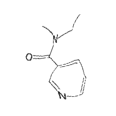 CCN(C)C(=O)c1cccnc1